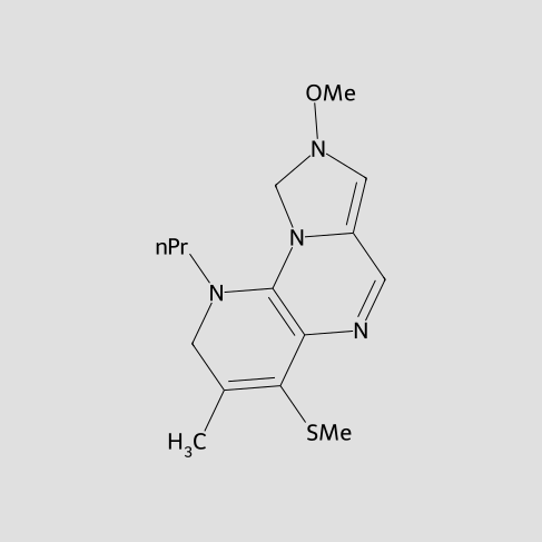 CCCN1CC(C)=C(SC)C2=C1N1CN(OC)C=C1C=N2